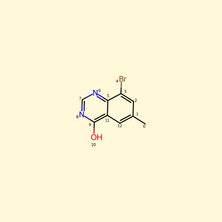 Cc1cc(Br)c2ncnc(O)c2c1